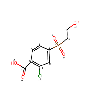 O=C(O)c1ccc(S(=O)(=O)CCO)cc1Cl